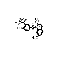 C=C(OC)c1cc(S(=O)(=O)N2c3cc(C)ccc3CC[C@@H]2C)ccc1O